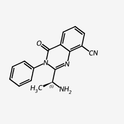 C[C@H](N)c1nc2c(C#N)cccc2c(=O)n1-c1ccccc1